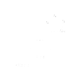 [CH]=Cc1ccc(-c2nnn[nH]2)cc1